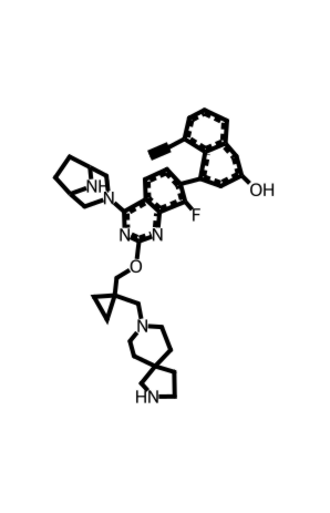 C#Cc1cccc2cc(O)cc(-c3ccc4c(N5CC6CCC(C5)N6)nc(OCC5(CN6CCC7(CCNC7)CC6)CC5)nc4c3F)c12